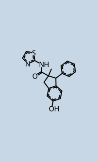 CC1(C(=O)Nc2nccs2)Cc2cc(O)ccc2C1c1ccccc1